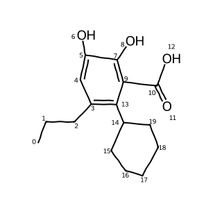 CCCc1cc(O)c(O)c(C(=O)O)c1C1CCCCC1